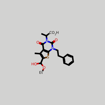 CCOC(O)c1sc2c(c1C)c(=O)n(C(C)C(=O)O)c(=O)n2CCc1ccccc1